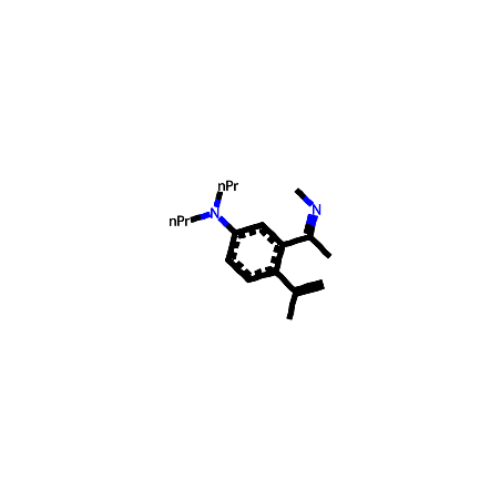 C=C(C)c1ccc(N(CCC)CCC)cc1/C(C)=N\C